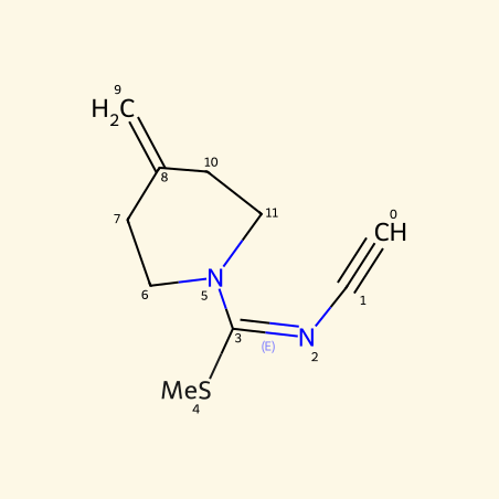 C#C/N=C(/SC)N1CCC(=C)CC1